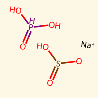 O=S([O-])O.O=[PH](O)O.[Na+]